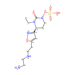 CCN1C(=O)N(OS(=O)(=O)O)CC[C@H]1c1cc(CCNCCN)on1